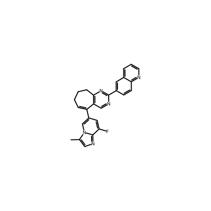 Cc1cnc2c(F)cc(C3=CCCCc4nc(-c5ccc6ncccc6c5)ncc43)cn12